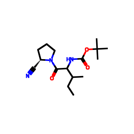 CCC(C)C(NC(=O)OC(C)(C)C)C(=O)N1CCC[C@H]1C#N